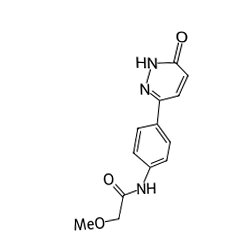 COCC(=O)Nc1ccc(-c2ccc(=O)[nH]n2)cc1